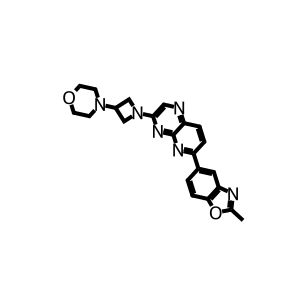 Cc1nc2cc(-c3ccc4ncc(N5CC(N6CCOCC6)C5)nc4n3)ccc2o1